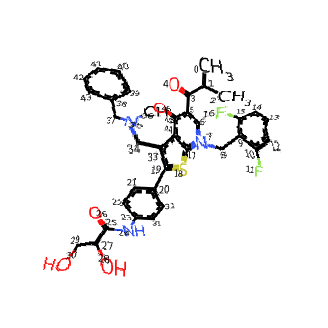 CC(C)C(=O)c1cn(Cc2c(F)cccc2F)c2sc(-c3ccc(NC(=O)C(O)CO)cc3)c(CN(C)Cc3ccccc3)c2c1=O